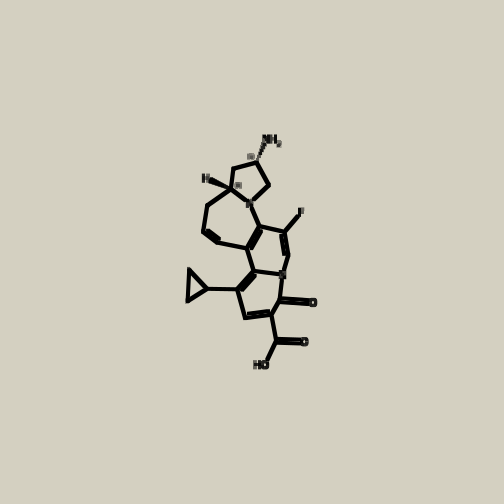 N[C@H]1C[C@H]2CC=Cc3c(c(F)cn4c(=O)c(C(=O)O)cc(C5CC5)c34)N2C1